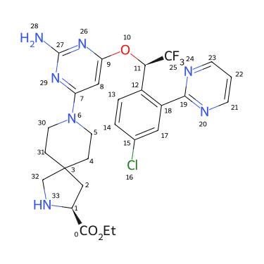 CCOC(=O)[C@@H]1CC2(CCN(c3cc(O[C@H](c4ccc(Cl)cc4-c4ncccn4)C(F)(F)F)nc(N)n3)CC2)CN1